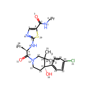 CC(C)NC(=O)c1cnc(N[C@@H](C(=O)N2CC[C@](O)(c3ccc(Cl)cc3)C(C)(C)C2)C(C)C)s1